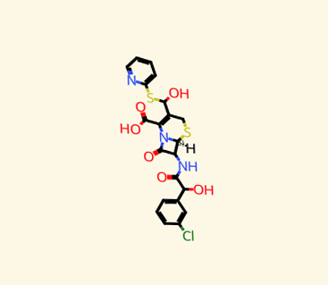 O=C(O)C1=C(C(O)Sc2ccccn2)CS[C@H]2C(NC(=O)C(O)c3cccc(Cl)c3)C(=O)N12